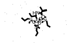 C=C(C)C(=O)NC(CC)[Si](O[Si](C)(C)CCC)(O[Si](C)(C)CCC)O[Si](C)(C)CCC